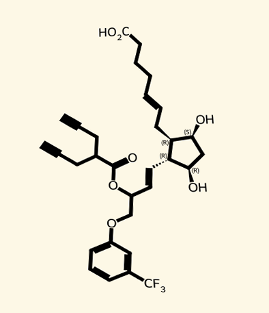 C#CCC(CC#C)C(=O)OC(C=C[C@@H]1[C@@H](CC=CCCCC(=O)O)[C@@H](O)C[C@H]1O)COc1cccc(C(F)(F)F)c1